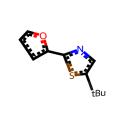 CC(C)(C)c1cnc(-c2ccco2)s1